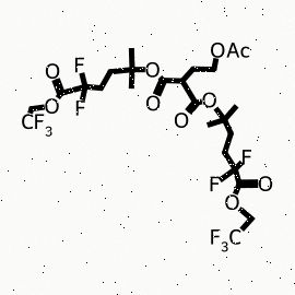 CC(=O)OCCC(C(=O)OC(C)(C)CCC(F)(F)C(=O)OCC(F)(F)F)C(=O)OC(C)(C)CCC(F)(F)C(=O)OCC(F)(F)F